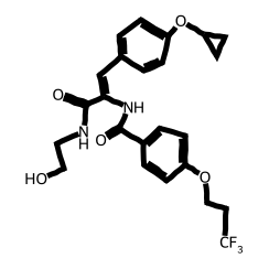 O=C(NCCO)/C(=C/c1ccc(OC2CC2)cc1)NC(=O)c1ccc(OCCC(F)(F)F)cc1